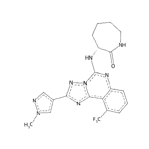 Cn1cc(-c2nc3c4c(C(F)(F)F)cccc4nc(N[C@@H]4CCCCNC4=O)n3n2)cn1